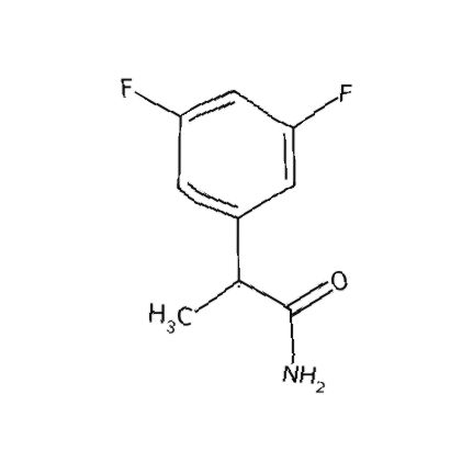 C[C](C(N)=O)c1cc(F)cc(F)c1